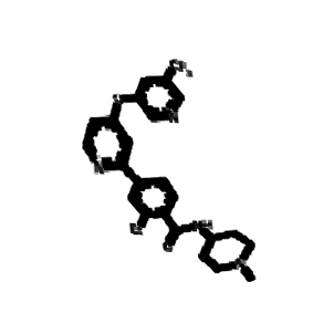 CCc1cc(-c2cc(Oc3cncc(C(F)(F)F)c3)ccn2)ccc1C(=O)NC1CCN(C)CC1